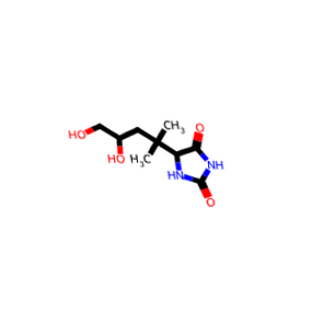 CC(C)(CC(O)CO)C1NC(=O)NC1=O